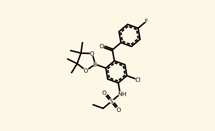 CCS(=O)(=O)Nc1cc(B2OC(C)(C)C(C)(C)O2)c(C(=O)c2ccc(F)cc2)cc1Cl